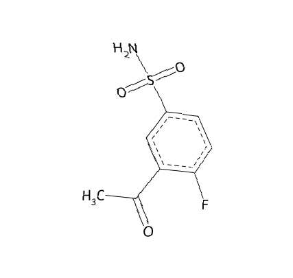 CC(=O)c1cc(S(N)(=O)=O)ccc1F